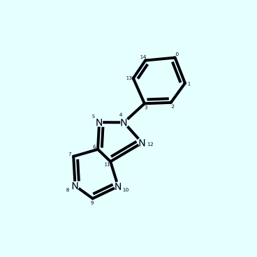 c1ccc(-n2nc3cncnc3n2)cc1